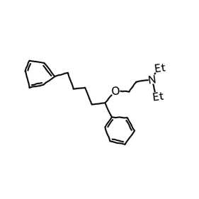 CCN(CC)CCOC(CCCCc1ccccc1)c1ccccc1